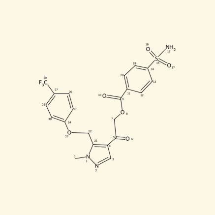 Cn1ncc(C(=O)COC(=O)c2ccc(S(N)(=O)=O)cc2)c1COc1ccc(C(F)(F)F)cc1